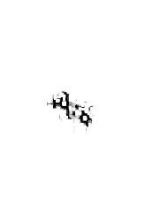 CN(C(=O)[C@@H]1CNC(=O)N1c1cc(C(F)(F)F)c2sccc2n1)c1ccc(F)c(Cl)c1F